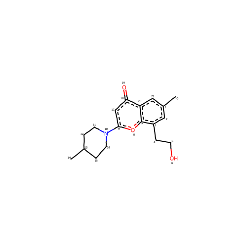 Cc1cc(CCO)c2oc(N3CCC(C)CC3)cc(=O)c2c1